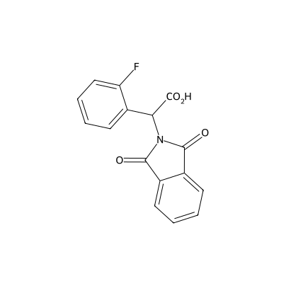 O=C(O)C(c1ccccc1F)N1C(=O)c2ccccc2C1=O